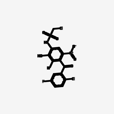 O=C(c1cc(F)ccc1Cl)c1c([N+](=O)[O-])cc(NS(=O)(=O)CCl)c(O)c1Br